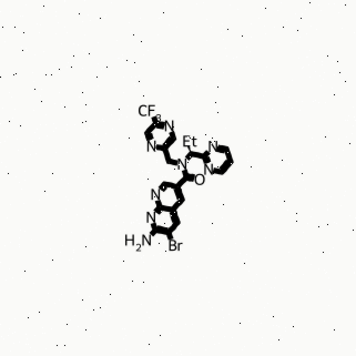 CC[C@H](c1ncccn1)N(Cc1cnc(C(F)(F)F)cn1)C(=O)c1cnc2nc(N)c(Br)cc2c1